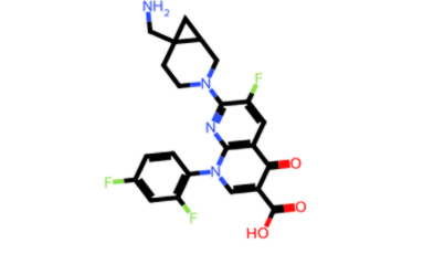 NCC12CCN(c3nc4c(cc3F)c(=O)c(C(=O)O)cn4-c3ccc(F)cc3F)CC1C2